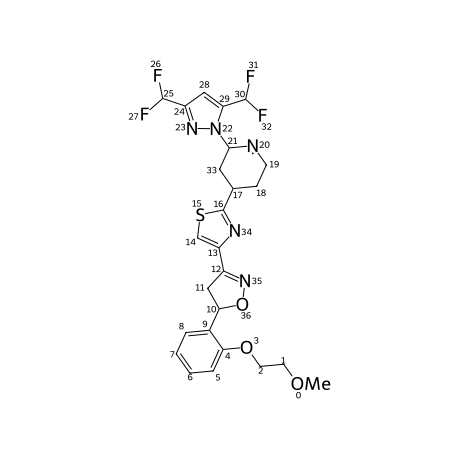 COCCOc1ccccc1C1CC(c2csc(C3CC[N]C(n4nc(C(F)F)cc4C(F)F)C3)n2)=NO1